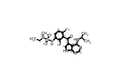 CCN(C)S(=O)(=O)Nc1ccc(F)c(C(=O)c2c[nH]c3ncnc(NC(C)C)c23)c1F